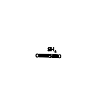 O=[Si]=O.[SiH4]